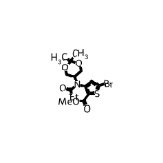 CCC(=O)N(c1cc(Br)sc1C(=O)OC)C1COC(C)(C)OC1